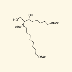 CCCCCCCCCCCCCCCC(O)C(CO)N(CCCC)CCCCCCCCOC